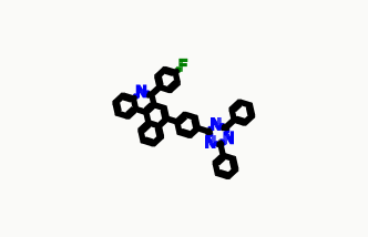 Fc1ccc(-c2nc3ccccc3c3c2cc(-c2ccc(-c4nc(-c5ccccc5)nc(-c5ccccc5)n4)cc2)c2ccccc23)cc1